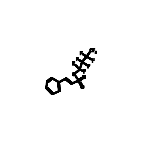 O=S(=O)(C=Cc1ccccc1)OC(F)(F)C(F)(F)C(F)(F)C(F)(F)F